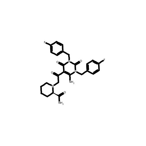 NC(=O)[C@H]1CCCCN1CC(=O)c1c(N)n(Cc2ccc(F)cc2)c(=O)n(Cc2ccc(F)cc2)c1=O